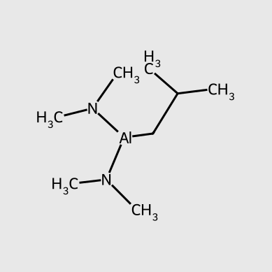 CC(C)[CH2][Al]([N](C)C)[N](C)C